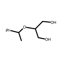 CC(C)C(C)OC(CO)CO